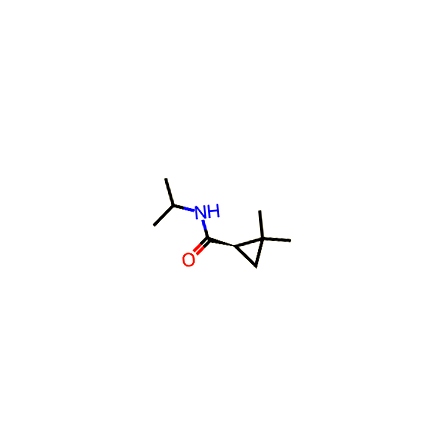 CC(C)NC(=O)[C@@H]1CC1(C)C